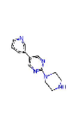 c1cncc(-c2cnc(N3CCNCC3)nc2)c1